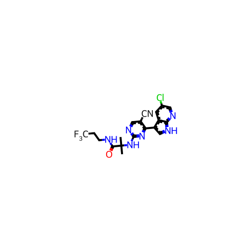 CC(C)(Nc1ncc(C#N)c(-c2c[nH]c3ncc(Cl)cc23)n1)C(=O)NCCC(F)(F)F